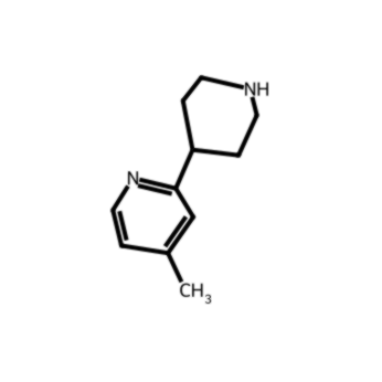 Cc1ccnc(C2CCNCC2)c1